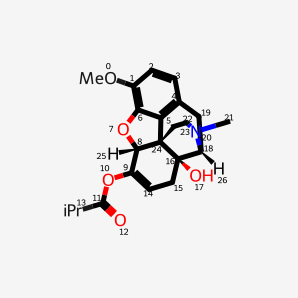 COc1ccc2c3c1O[C@H]1C(OC(=O)C(C)C)=CC[C@@]4(O)[C@@H](C2)N(C)CC[C@]314